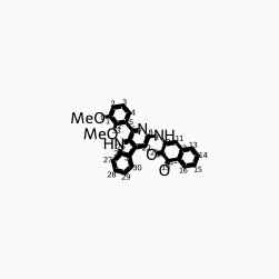 COc1cccc(-c2nc(NC3=Cc4ccccc4C(=O)C3=O)cc3c2[nH]c2ccccc23)c1OC